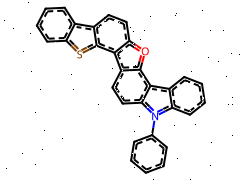 c1ccc(-n2c3ccccc3c3c4oc5ccc6c7ccccc7sc6c5c4ccc32)cc1